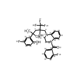 CC(C)(CC(O)(CN1CCN(C(=O)c2ccccc2F)c2ccccc21)C(F)(F)F)c1cc(F)ccc1O